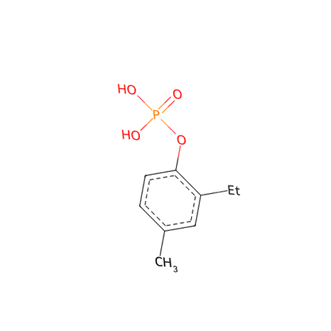 CCc1cc(C)ccc1OP(=O)(O)O